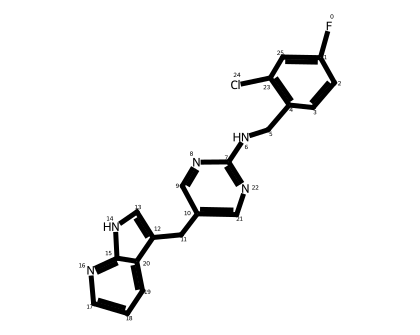 Fc1ccc(CNc2ncc(Cc3c[nH]c4ncccc34)cn2)c(Cl)c1